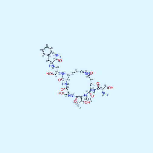 CC(O)[C@H]1C(=O)N[C@@H](CO)C(=O)N[C@H](C(=O)N[C@@H](CO)CN[C@@H](Cc2ccccc2)C(N)=O)CCCCNC(=O)CC[C@H](NC(=O)[C@@H](N)CO)C(=O)N1C